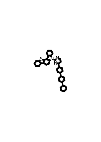 c1ccc(-c2ccc(-c3ccc(-c4ccnc(-n5c6ccccc6c6c7sc8ccccc8c7ccc65)n4)cc3)cc2)cc1